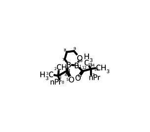 CCCC(C)(C)C(=O)B1CCCOB1C(=O)C(C)(C)CCC